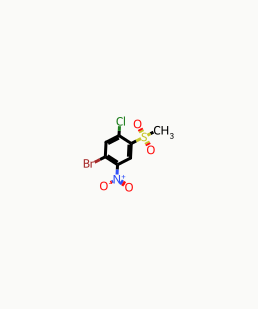 CS(=O)(=O)c1cc([N+](=O)[O-])c(Br)cc1Cl